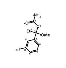 CCC(OC)(OC(N)=O)c1cccc(I)c1